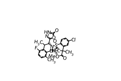 COC(=O)C(C)(C)c1cc(Cl)ccc1S(=O)(=O)N[C@H](c1n[nH]c(=O)o1)C(C)c1c(F)ccc(C)c1C